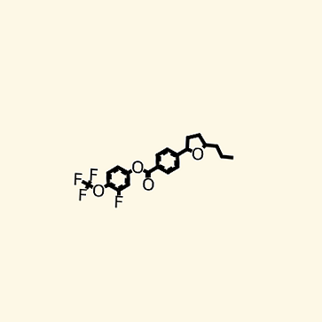 CCCC1CCC(c2ccc(C(=O)Oc3ccc(OC(F)(F)F)c(F)c3)cc2)O1